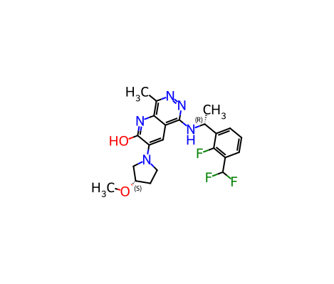 CO[C@H]1CCN(c2cc3c(N[C@H](C)c4cccc(C(F)F)c4F)nnc(C)c3nc2O)C1